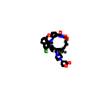 CO[C@@]1(CN2CCN([C@@H]3CCOC(=O)C3)CC2)/C=C/C[C@H](C)[C@@H](C)S(=O)(=O)NC(=O)c2ccc3c(c2)N(C[C@@H]2CC[C@H]21)C[C@@]1(CCCc2cc(Cl)ccc21)CO3